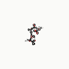 CCN(CC)c1ccc(/C=N/N(c2ccccc2)c2ccccc2)c(OCC(O)CN(/N=C/c2ccc(N(c3ccccc3)c3ccc(/C=N/N(CC(O)COc4cc(N(CC)CC)ccc4/C=N/N(c4ccccc4)c4ccccc4)c4ccccc4)cc3)cc2)c2ccccc2)c1